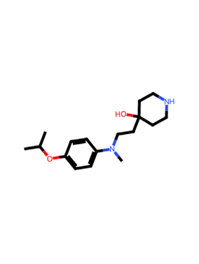 CC(C)Oc1ccc(N(C)CCC2(O)CCNCC2)cc1